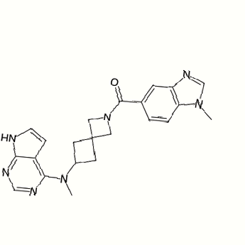 CN(c1ncnc2[nH]ccc12)C1CC2(C1)CN(C(=O)c1ccc3c(c1)ncn3C)C2